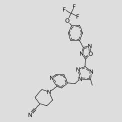 Cc1nc(-c2nc(-c3ccc(OC(F)(F)F)cc3)no2)nn1Cc1ccnc(N2CCC(C#N)CC2)c1